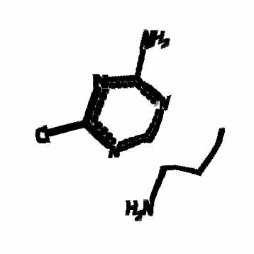 CCCN.Nc1ncnc(Cl)n1